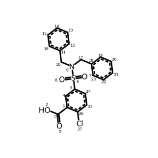 O=C(O)c1cc(S(=O)(=O)N(Cc2ccccc2)Cc2ccccc2)ccc1Cl